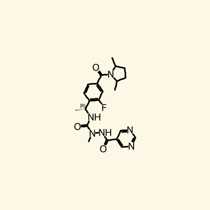 CC1CCC(C)N1C(=O)c1ccc([C@@H](C)NC(=O)N(C)NC(=O)c2cncnc2)c(F)c1